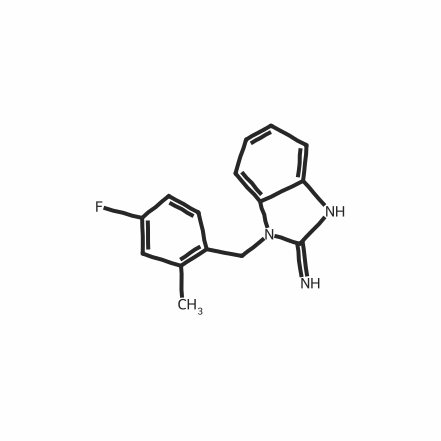 Cc1cc(F)ccc1Cn1c(=N)[nH]c2ccccc21